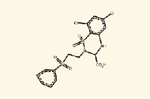 O=C(O)C1Nc2cc(Cl)cc(Cl)c2S(=O)(=O)N1CCS(=O)(=O)c1ccccc1